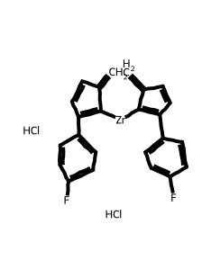 C=C1C=CC(c2ccc(F)cc2)=[C]1[Zr][C]1=C(c2ccc(F)cc2)C=CC1=C.Cl.Cl